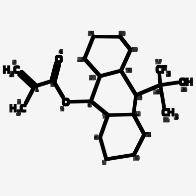 C=C(C)C(=O)OC1C2CCCCC2C(C(C)(O)C(F)(F)F)C2CCCCC21